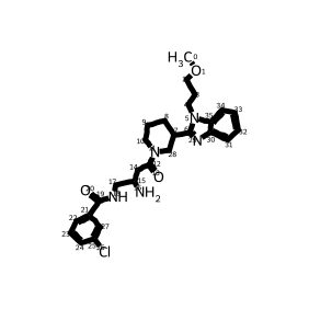 COCCCn1c(C2CCCN(C(=O)CC(N)CNC(=O)c3cccc(Cl)c3)C2)nc2ccccc21